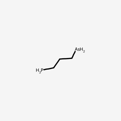 PCCC[AsH2]